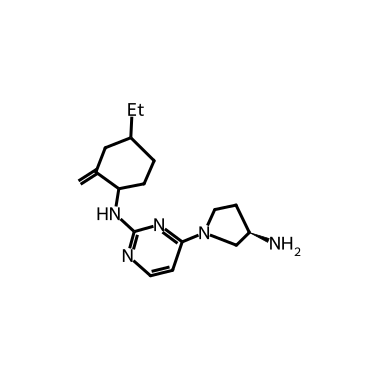 C=C1CC(CC)CCC1Nc1nccc(N2CC[C@@H](N)C2)n1